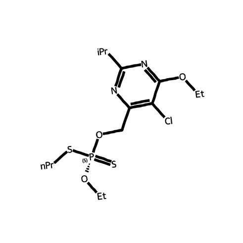 CCCS[P@@](=S)(OCC)OCc1nc(C(C)C)nc(OCC)c1Cl